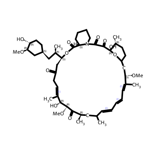 CO[C@H]1CC2CC[C@@H](C)[C@@](O)(O2)C(=O)C(=O)N2CCCC[C@H]2C(=O)O[C@H]([C@H](C)C[C@@H]2CC[C@@H](O)[C@H](OC)C2)CC(=O)C/C=C(\C)[C@@H](O)[C@@H](OC)C(=O)[C@H](C)CC(C)/C=C/C=C/C=C/1C